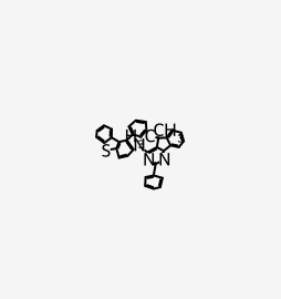 CC1(C)c2ccccc2-c2nc(-c3ccccc3)nc(-n3c4ccccc4c4c5c(ccc43)sc3ccccc35)c21